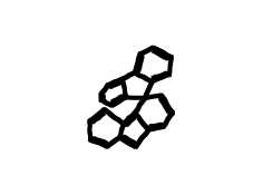 C1=CC2(C3=c4ccccc4=CC3=C1)c1ccccc1-c1ccccc12